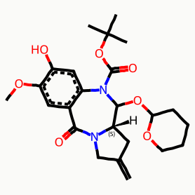 C=C1C[C@H]2C(OC3CCCCO3)N(C(=O)OC(C)(C)C)c3cc(O)c(OC)cc3C(=O)N2C1